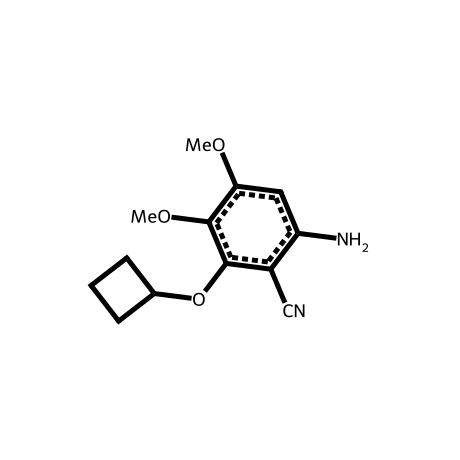 COc1cc(N)c(C#N)c(OC2CCC2)c1OC